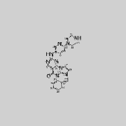 O=c1c2cnc(Nc3ccc(N4CCNCC4)nc3)nc2n2ccnc2n1-c1ccccc1Cl